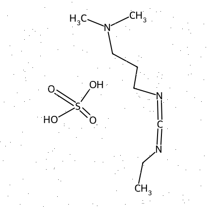 CCN=C=NCCCN(C)C.O=S(=O)(O)O